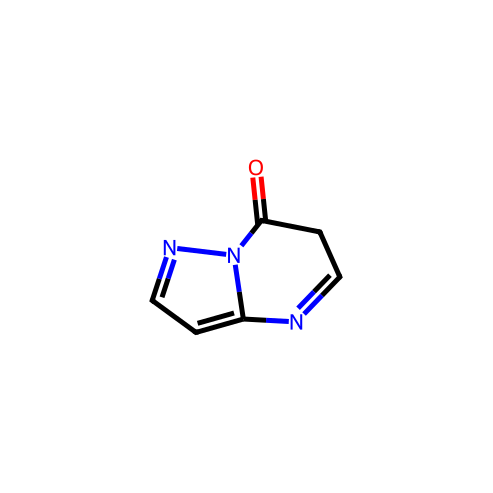 O=C1CC=Nc2ccnn21